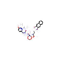 CNC(=O)C(Cc1ccc(OC)cc1)NC(=O)C1(NC(CCN2C(=O)c3cc4ccccc4cc3C2=O)C(=O)O)CCCCC1